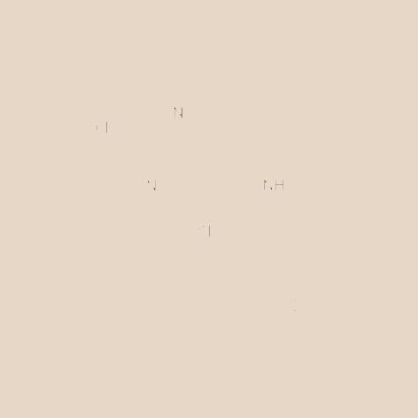 Clc1ncc(NC2CCOCC2)c(Cl)n1